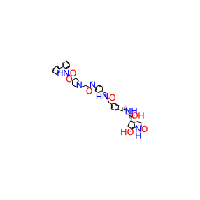 C[C@@H](Cc1ccc(CC(=O)NCc2ccc(N(C)C(=O)CCN3CCC(OC(=O)Nc4ccccc4-c4ccccc4)CC3)cc2)cc1)NC[C@H](O)c1ccc(O)c2[nH]c(=O)ccc12